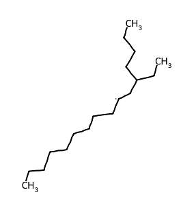 CCCCCCCCC[CH]CC(CC)CCCC